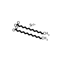 CCCCCCCCCCCCCCC(=O)[O-].CCCCCCCCCCCCCCC(=O)[O-].[Sr+2]